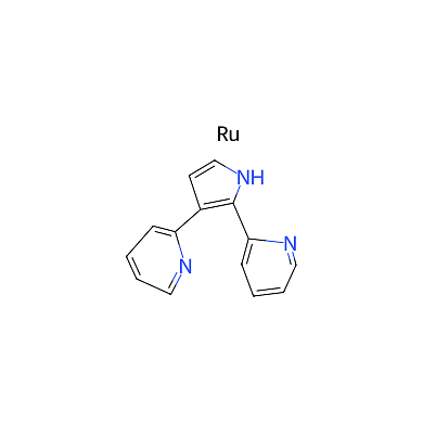 [Ru].c1ccc(-c2cc[nH]c2-c2ccccn2)nc1